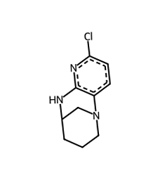 Clc1ccc2c(n1)NC1CCCN2C1